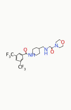 O=C(NC1CCC(CNCC(=O)N2CCOCC2)CC1)c1cc(C(F)(F)F)cc(C(F)(F)F)c1